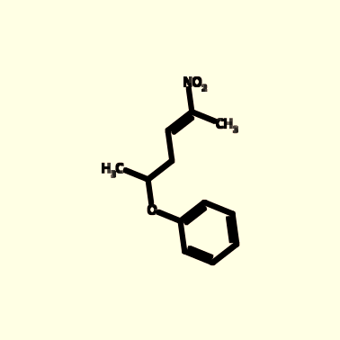 CC(=CCC(C)Oc1ccccc1)[N+](=O)[O-]